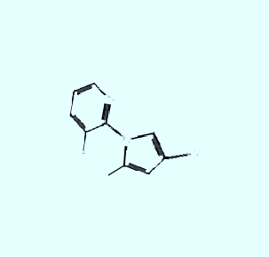 O=Cc1cc(Br)cn1-c1ncccc1Cl